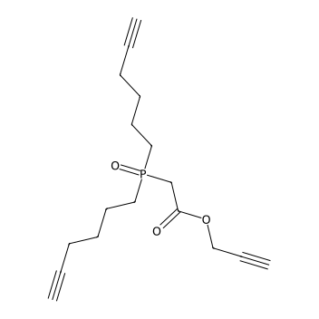 C#CCCCCP(=O)(CCCCC#C)CC(=O)OCC#C